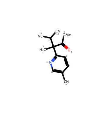 COC(=O)C(C)(c1ccc(C#N)cn1)C(C#N)C#N